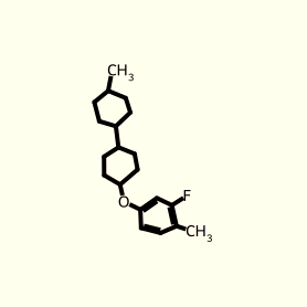 Cc1ccc(OC2CCC(C3CCC(C)CC3)CC2)cc1F